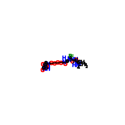 C=N/C(=C\C(=C/C)c1nc(C(=O)Nc2cn(-c3ccc(C(=O)NCCOCCOCCOCCOCCNc4cccc5c4C(=O)N(C4CCC(=O)NC4=O)C5=O)cc3)nc2C(F)F)co1)NCC1CC1